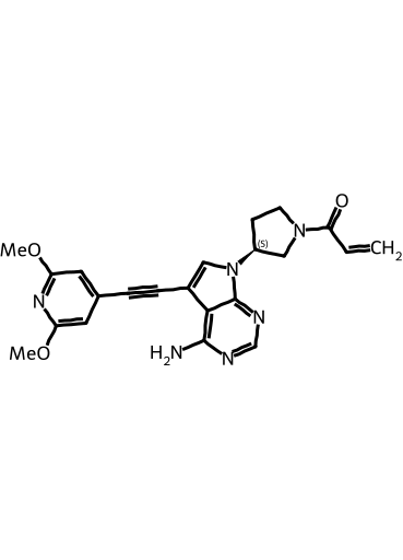 C=CC(=O)N1CC[C@H](n2cc(C#Cc3cc(OC)nc(OC)c3)c3c(N)ncnc32)C1